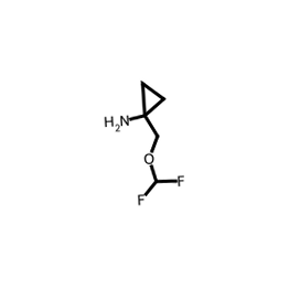 NC1(COC(F)F)CC1